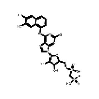 O=P(O)(O)CP(=O)(O)OCC1OC(n2cnc3c(Nc4cccc5cc(O)c(O)cc45)nc(Cl)nc32)C(O)C1O